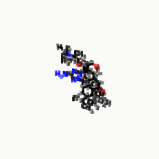 CC(C)[C@@H](C)[C@@]1(C)CC[C@]2(C)[C@H]3CC[C@@H]4[C@@]5(COC[C@@]4(C)[C@@H](OC[C@@](C)(C(C)C)N(C)C)[C@H](n4nnc(N)n4)C5)C3=CC(=O)[C@@]2(C)[C@@H]1C(=O)O